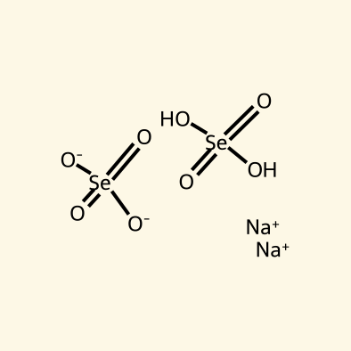 O=[Se](=O)(O)O.O=[Se](=O)([O-])[O-].[Na+].[Na+]